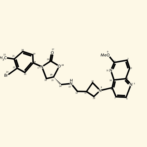 COc1ccc2nccc(N3CC(CNC[C@@H]4CN(c5ccc(C)c(Br)c5)C(=O)O4)C3)c2n1